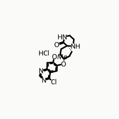 COc1cc2ncnc(Cl)c2cc1O[C@H]1CC[C@@]2(CC1)NCCNC2=O.Cl